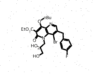 CCCCOc1c(C(=O)OCC)c(=O)n(C[C@@H](O)CO)c2c(Br)c(Cc3ccc(F)cc3)cnc12